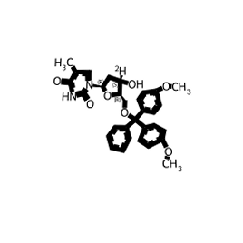 [2H][C@]1(O)C[C@H](n2cc(C)c(=O)[nH]c2=O)O[C@@H]1COC(c1ccccc1)(c1ccc(OC)cc1)c1ccc(OC)cc1